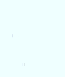 Oc1ccc(C(O)CCCCc2ccccc2)cc1